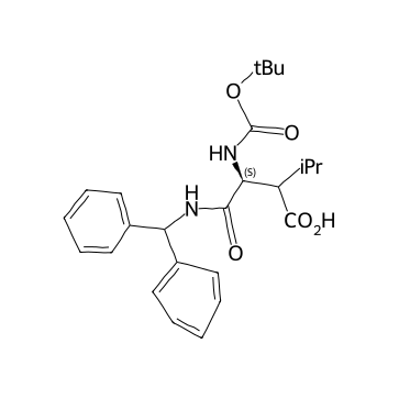 CC(C)C(C(=O)O)[C@H](NC(=O)OC(C)(C)C)C(=O)NC(c1ccccc1)c1ccccc1